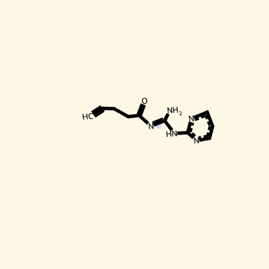 C#CCCC(=O)/N=C(\N)Nc1ncccn1